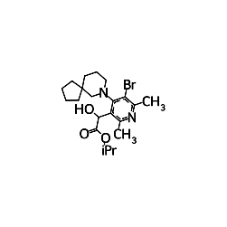 Cc1nc(C)c(C(O)C(=O)OC(C)C)c(N2CCCC3(CCCC3)C2)c1Br